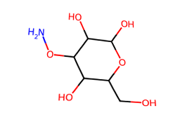 NOC1C(O)C(O)OC(CO)C1O